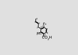 CC=CCc1c(F)ccc(C(=O)O)c1F